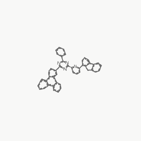 c1ccc(-c2nc(-c3ccc4c5ccccc5c5ccccc5c4c3)nc(-c3cccc(-c4cccc5c4Cc4ccccc4-5)n3)n2)cc1